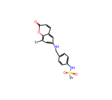 CCc1cc(NCc2ccc(NS(=O)(=O)C(C)C)cc2)cc2ccc(=O)oc12